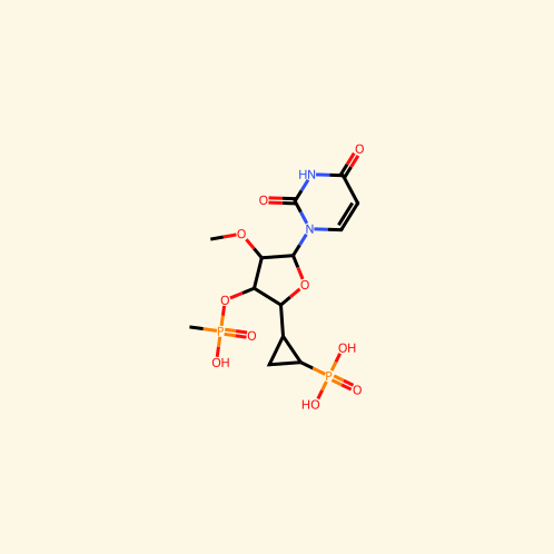 COC1C(OP(C)(=O)O)C(C2CC2P(=O)(O)O)OC1n1ccc(=O)[nH]c1=O